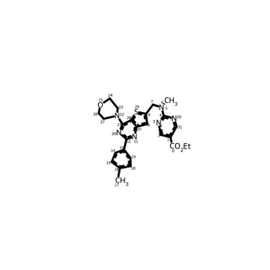 CCOC(=O)c1cnc(N(C)Cc2cc3nc(-c4ccc(C)cc4)nc(N4CCOCC4)c3s2)nc1